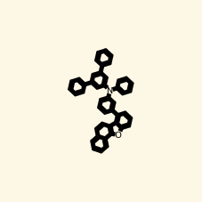 c1ccc(-c2cc(-c3ccccc3)cc(N(c3ccccc3)c3cccc(-c4cccc5oc6c7ccccc7ccc6c45)c3)c2)cc1